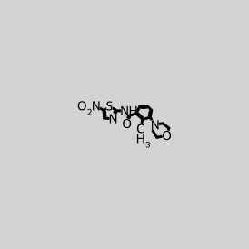 Cc1c(C(=O)Nc2ncc([N+](=O)[O-])s2)cccc1N1CCOCC1